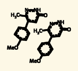 COc1ccc(-c2cc(=O)[nH]nc2C)cc1.COc1ccc(-c2cc(=O)[nH]nc2C)cc1